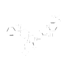 CN(C)[C@]1(c2ccccc2)CC[C@@]2(CC1)CN(CC(=O)Nc1ccc(S(C)(=O)=O)cn1)C(=O)N2CC1CCC1